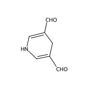 O=CC1=CNC=C(C=O)C1